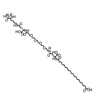 O=C(O)CCCCCCCCCCCCCCCCCCC(=O)N[C@@H](CCC(=O)NCCOCCOCCOCCOCCC(=O)N[C@@H](CCC(=O)NCCCC[C@H](NP)C(=O)O)C(=O)O)C(=O)O